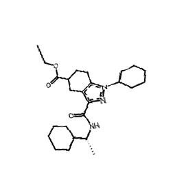 CCOC(=O)C1CCc2c(c(C(=O)N[C@H](C)C3CCCCC3)nn2C2CCCCC2)C1